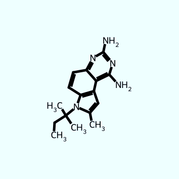 CCC(C)(C)n1c(C)cc2c3c(N)nc(N)nc3ccc21